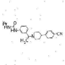 C=C(c1cccc(NC(=O)NC(C)C)c1)N1CCC(c2ccc(C#N)cc2)CC1